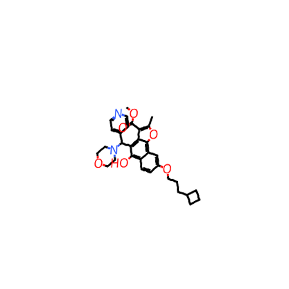 COC(=O)c1c(C)oc2c1c(C(c1ccncc1)N1CCOCC1)c(O)c1ccc(OCCCC3CCC3)cc12